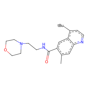 Cc1cc2nccc(C(C)(C)C)c2cc1C(=O)NCCN1CCOCC1